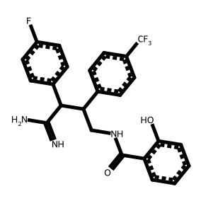 N=C(N)C(c1ccc(F)cc1)C(CNC(=O)c1ccccc1O)c1ccc(C(F)(F)F)cc1